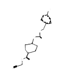 N#CCNC(=O)C1CCC(NC(=O)OCc2ccc(Cl)cc2)CC1